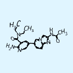 CCN(CC)C(=O)c1cc(-c2ccc3nc(NC(C)=O)cn3c2)cnc1N